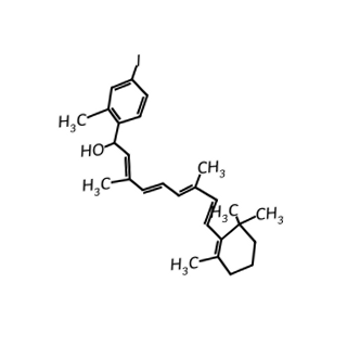 CC(C=CC1=C(C)CCCC1(C)C)=CC=CC(C)=CC(O)c1ccc(I)cc1C